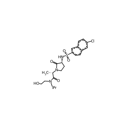 CC(C)N(CCO)C(=O)[C@H](C)N1CC[C@H](NS(=O)(=O)c2ccc3cc(Cl)ccc3c2)C1=O